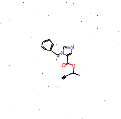 C#CC(C)OC(=O)c1cncn1[C@H](C)c1ccccc1